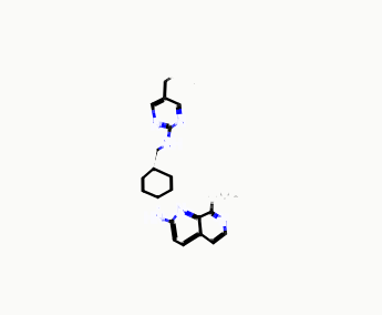 COc1nccc2ccc(N[C@H]3CC[C@H](CNc4ncc(CC(=O)O)cn4)CC3)nc12